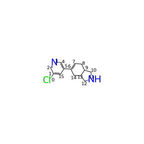 Clc1cncc(C2=CCC3CNCC3C2)c1